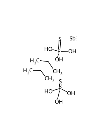 CCC.CCC.OP(O)(O)=S.OP(O)(O)=S.[Sb]